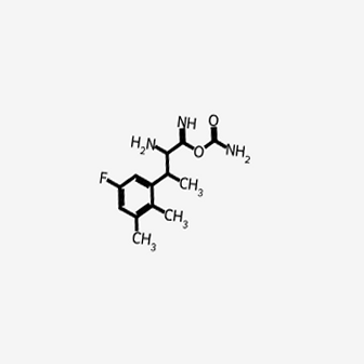 Cc1cc(F)cc(C(C)C(N)C(=N)OC(N)=O)c1C